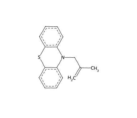 C=C(C)CN1c2ccccc2Sc2ccccc21